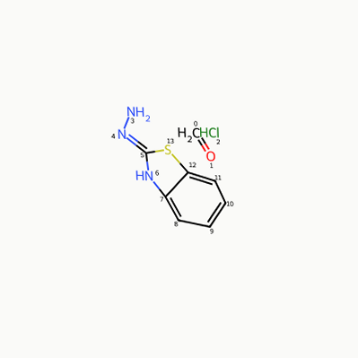 C=O.Cl.NN=c1[nH]c2ccccc2s1